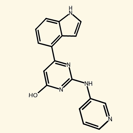 Oc1cc(-c2cccc3[nH]ccc23)nc(Nc2cccnc2)n1